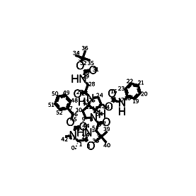 C[C@@H](C(=O)N[C@H](C(=O)N1CC[C@@H]2[C@H]1[C@@H](OC(=O)Nc1ccccc1)CN2C(=O)CNC(=O)OC(C)(C)C)C(C)(C)C)N(C)C(=O)OCc1ccccc1